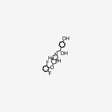 Oc1ccc(C(O)CN2C[C@H]3CC(Oc4c(F)cccc4F)C[C@H]3C2)cc1